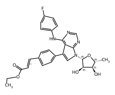 CCOC(=O)/C=C/c1ccc(-c2cn([C@@H]3O[C@H](C)[C@@H](O)[C@H]3O)c3ncnc(Nc4ccc(F)cc4)c23)cc1